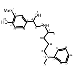 CSc1cc(C(O)CNC(C)CCCN(C)c2ccccc2)ccc1O